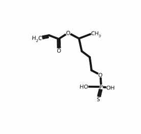 C=CC(=O)OC(C)CCCOP(O)(O)=S